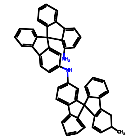 CC1C=CC2=C(C1)c1ccccc1C21c2ccccc2-c2ccc(Nc3ccc4c(c3)C3(c5ccccc5-4)c4ccccc4-c4cccc(N)c43)cc21